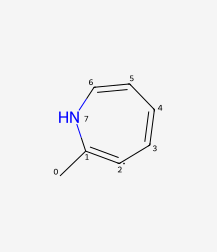 CC1=[C]C=CC=CN1